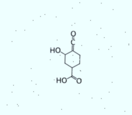 O=C=C1CCC(C(=O)O)CC1O